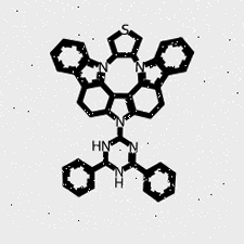 c1ccc(C2=NC(N3C4=C5c6c(c7ccccc7n6C6CSCC6n6c7c(c8ccccc86)CCC3C57)CC4)NC(c3ccccc3)N2)cc1